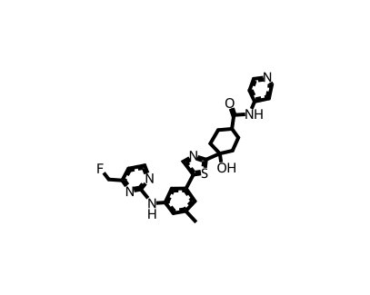 Cc1cc(Nc2nccc(CF)n2)cc(-c2cnc(C3(O)CCC(C(=O)Nc4ccncc4)CC3)s2)c1